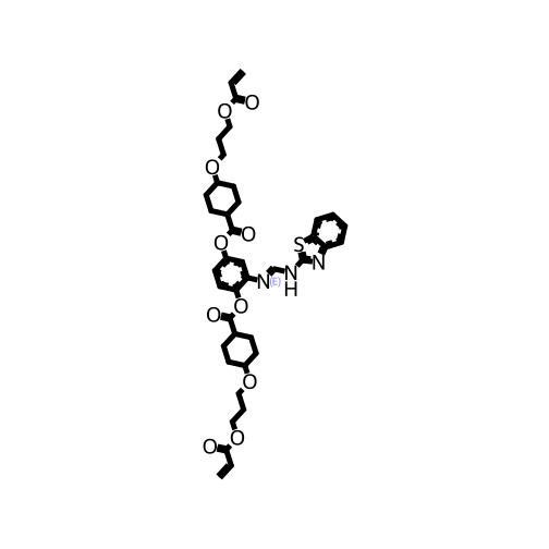 C=CC(=O)OCCCOC1CCC(C(=O)Oc2ccc(OC(=O)C3CCC(OCCCOC(=O)C=C)CC3)c(/N=C/Nc3nc4ccccc4s3)c2)CC1